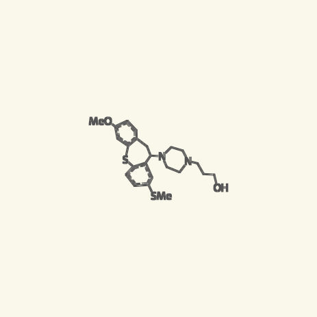 COc1ccc2c(c1)Sc1ccc(SC)cc1C(N1CCN(CCCO)CC1)C2